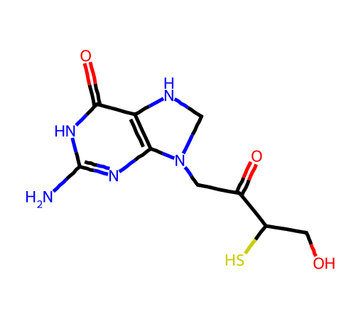 Nc1nc2c(c(=O)[nH]1)NCN2CC(=O)C(S)CO